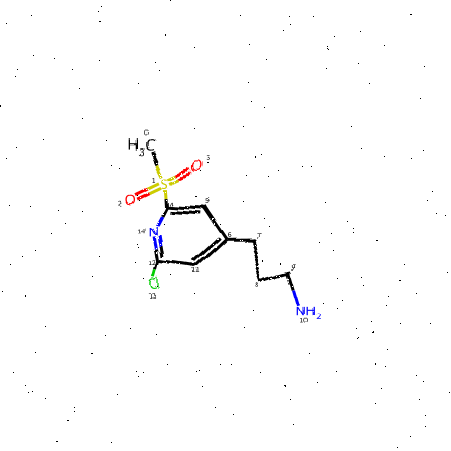 CS(=O)(=O)c1cc(CCCN)cc(Cl)n1